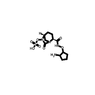 NC1CCCC1ONC(=O)[C@@H]1CC[C@@H]2CN1C(=O)N2OS(=O)(=O)O